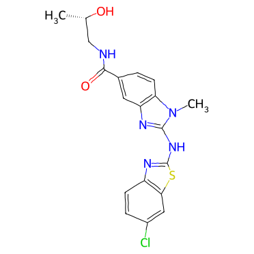 C[C@H](O)CNC(=O)c1ccc2c(c1)nc(Nc1nc3ccc(Cl)cc3s1)n2C